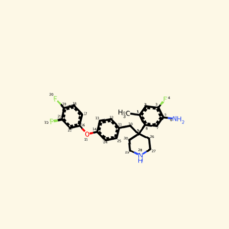 Cc1cc(F)c(N)cc1C1(Cc2ccc(Oc3ccc(F)c(F)c3)cc2)CCNCC1